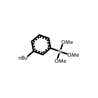 CCCCc1cccc([Si](OC)(OC)OC)c1